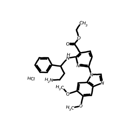 CCOC(=O)c1ccc(-n2cnc3cc(OC)c(OC)cc32)nc1NC(CCN)c1ccccc1.Cl